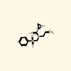 C=CCN(CS(=O)(=O)c1ccccc1)C(=O)[C@H]1CO1